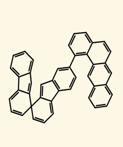 C1=CC2(C=CC=C3C2=Cc2cc(-c4cccc5ccc6cc7ccccc7cc6c45)ccc23)C2=Cc3ccccc3C2=C1